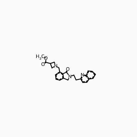 COC(=O)C1CN(Cc2cccc3c2C(=O)N(CCc2ccc4ccccc4n2)C3)C1